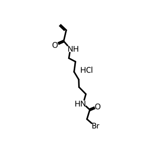 C=CC(=O)NCCCCCCNC(=O)CBr.Cl